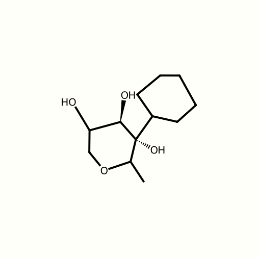 CC1OCC(O)[C@@H](O)[C@@]1(O)C1CCCCC1